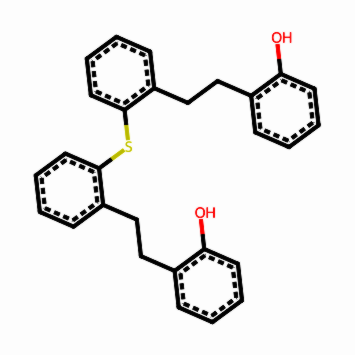 Oc1ccccc1CCc1ccccc1Sc1ccccc1CCc1ccccc1O